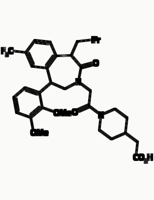 COc1cccc(C2CN(CC(=O)N3CCC(CC(=O)O)CC3)C(=O)C(CC(C)C)c3ccc(C(F)(F)F)cc32)c1OC